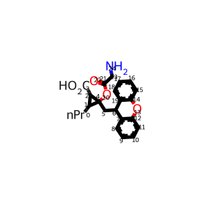 CCCC1C(C(=O)O)C1(CC1c2ccccc2Oc2ccccc21)OC(=O)CN